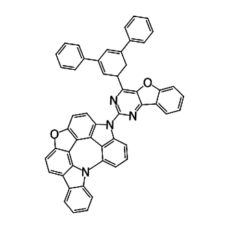 C1=C(c2ccccc2)C=C(c2ccccc2)CC1c1nc(-n2c3ccc4oc5ccc6c7ccccc7n7c8cccc2c8c3c4c5c67)nc2c1oc1ccccc12